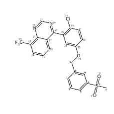 CS(=O)(=O)c1cccc(COc2ccc(Cl)c(-c3ncnc4c(C(F)(F)F)cccc34)c2)c1